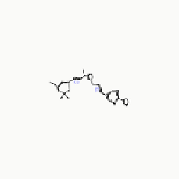 COc1ccc(/C=C/COC(C)/C=C/C2C=C(C)CC(C)(C)C2)cc1